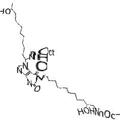 CCCCCCCCNCC(O)CCCCCCCCCn1c(=O)c2c(ncn2C(CCCCCCCCC(C)O)NCCCCCCCC)n(C)c1=O